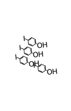 Oc1ccc(I)cc1.Oc1ccc(I)cc1.Oc1ccc(I)cc1.Oc1ccc(I)cc1